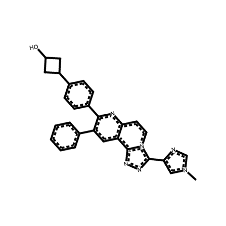 Cn1cnc(-c2nnc3c4cc(-c5ccccc5)c(-c5ccc(C6CC(O)C6)cc5)nc4ccn23)c1